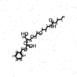 CCCCC(=O)NCCCOCCOCC(CO)OP(O)OCc1ccccc1